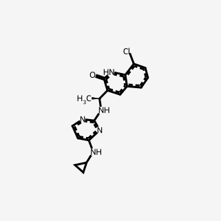 C[C@H](Nc1nccc(NC2CC2)n1)c1cc2cccc(Cl)c2[nH]c1=O